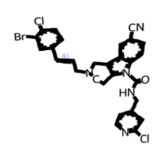 N#Cc1ccc2c(c1)c1c(n2C(=O)NCc2ccnc(Cl)c2)CCN(C/C=C/c2ccc(Cl)c(Br)c2)C1